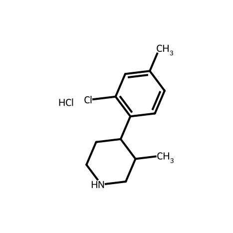 Cc1ccc(C2CCNCC2C)c(Cl)c1.Cl